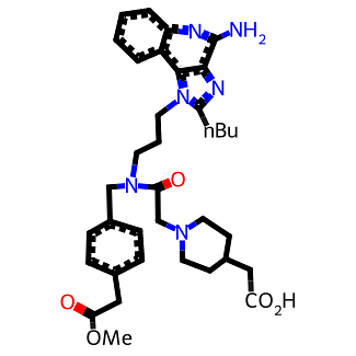 CCCCc1nc2c(N)nc3ccccc3c2n1CCCN(Cc1ccc(CC(=O)OC)cc1)C(=O)CN1CCC(CC(=O)O)CC1